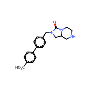 O=C(O)c1ccc(-c2ccc(CN3CC4CNCCN4C3=O)cc2)cc1